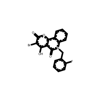 O=c1oc2c(c(O)c1Br)c(=O)n(Cc1ccccc1F)c1ccccc21